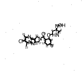 CC(=N)/C(CCOc1cc(F)ccc1C(=O)N1Cc2nn3c(C)c(Cl)c(C)nc3c2C1)=N\O